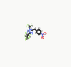 O=[N+]([O-])c1ccc(Cc2nc(C(F)(F)C(F)(F)F)nn2C(F)F)cc1